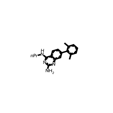 CCCNc1nc(N)nc2cc(-c3c(C)cccc3C)ccc12